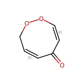 O=C1/C=C\COO/C=C\1